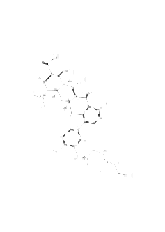 COc1ccc(-c2ccc(O)c3c2C[C@@H]2C[C@@H]4[C@@H](N(C)C)C(O)=C(C(N)=O)C(=O)[C@]4(O)C(O)=C2C3=O)cc1CN1CCN(CCO)CC1